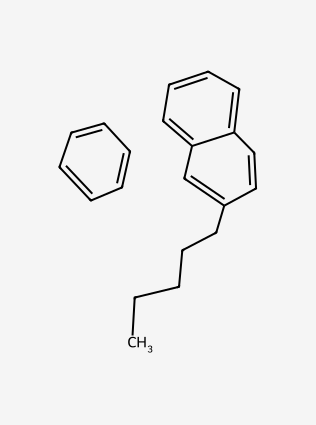 CCCCCc1ccc2ccccc2c1.c1ccccc1